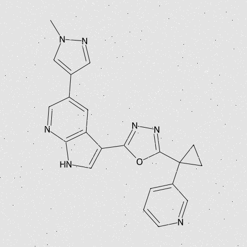 Cn1cc(-c2cnc3[nH]cc(-c4nnc(C5(c6cccnc6)CC5)o4)c3c2)cn1